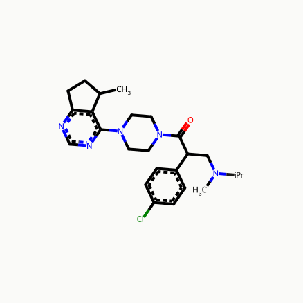 CC1CCc2ncnc(N3CCN(C(=O)C(CN(C)C(C)C)c4ccc(Cl)cc4)CC3)c21